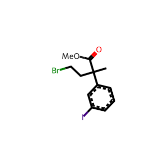 COC(=O)C(C)(CCBr)c1cccc(I)c1